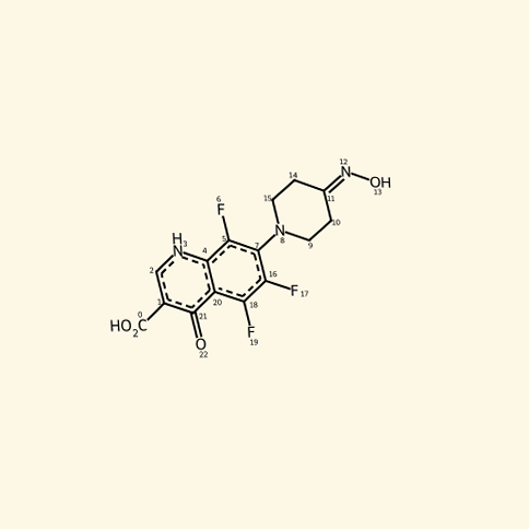 O=C(O)c1c[nH]c2c(F)c(N3CCC(=NO)CC3)c(F)c(F)c2c1=O